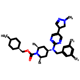 CC[C@@H]1C[C@H](N(Cc2cc(C(F)(F)F)cc(C(F)(F)F)c2)c2ncc(C3C=NN(C)C3)cn2)C[C@H](CC)N1C(=O)OC[C@H]1CC[C@H](C(=O)O)CC1